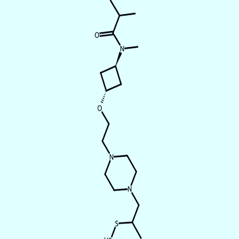 CC(CN1CCN(CCO[C@H]2C[C@H](N(C)C(=O)C(C)C)C2)CC1)SS